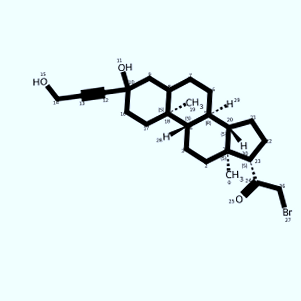 C[C@]12CC[C@H]3[C@@H](CCC4CC(O)(C#CCO)CC[C@@]43C)[C@@H]1CC[C@@H]2C(=O)CBr